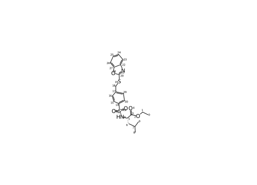 CCOC(=O)[C@H](CC(C)C)NS(=O)(=O)c1ccc(CSc2nc3ccccc3o2)cc1